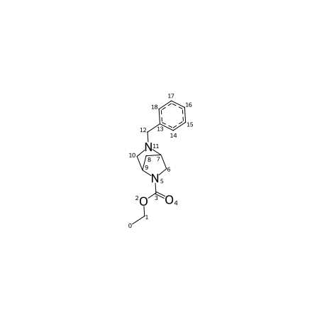 CCOC(=O)N1CC2CC1CN2Cc1ccccc1